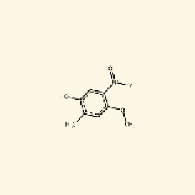 COc1cc(C)c(O)cc1[N+](=O)[O-]